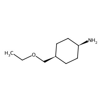 CCOC[C@H]1CC[C@@H](N)CC1